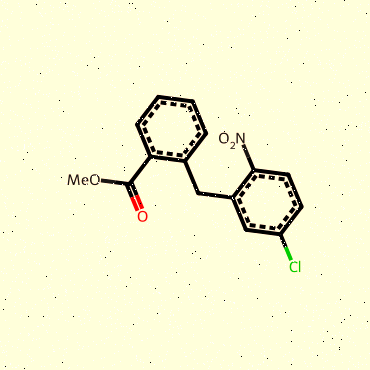 COC(=O)c1ccccc1Cc1cc(Cl)ccc1[N+](=O)[O-]